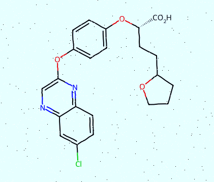 O=C(O)[C@H](CCC1CCCO1)Oc1ccc(Oc2cnc3cc(Cl)ccc3n2)cc1